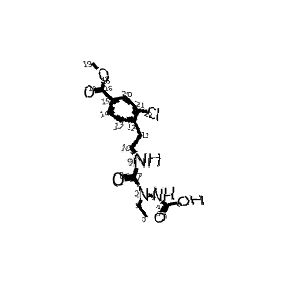 CCN(NC(=O)O)C(=O)NCCc1ccc(C(=O)OC)cc1Cl